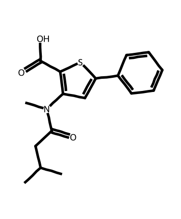 CC(C)CC(=O)N(C)c1cc(-c2ccccc2)sc1C(=O)O